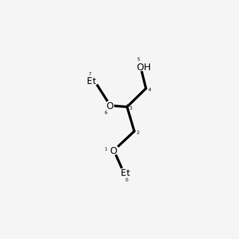 CCOC[C](CO)OCC